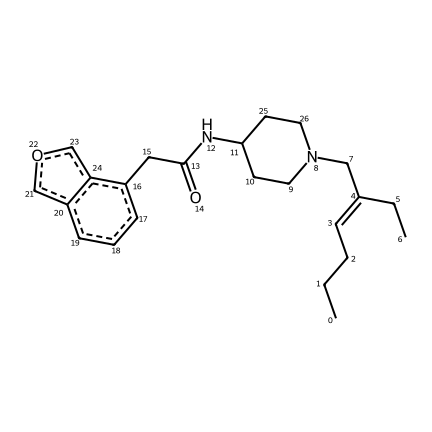 CCCC=C(CC)CN1CCC(NC(=O)Cc2cccc3cocc23)CC1